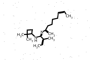 C=C(CCCC/C=C\C)/N=C(NC1CCC1(C)C)\C(C)=C/C